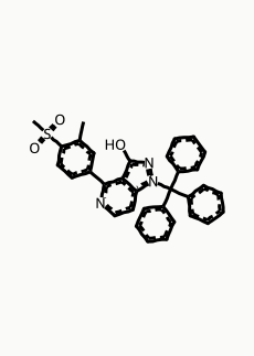 Cc1cc(-c2nccc3c2c(O)nn3C(c2ccccc2)(c2ccccc2)c2ccccc2)ccc1S(C)(=O)=O